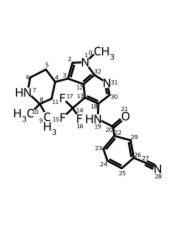 Cn1cc(C2CCNC(C)(C)C2)c2c(C(F)(F)F)c(NC(=O)c3cccc(C#N)c3)cnc21